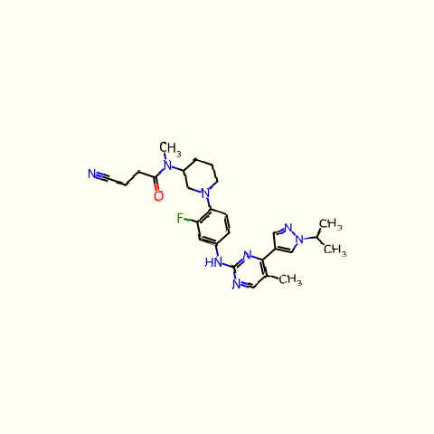 Cc1cnc(Nc2ccc(N3CCCC(N(C)C(=O)CCC#N)C3)c(F)c2)nc1-c1cnn(C(C)C)c1